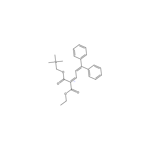 CCOC(=O)/C(=C/C=C(c1ccccc1)c1ccccc1)C(=O)OC[Si](C)(C)C